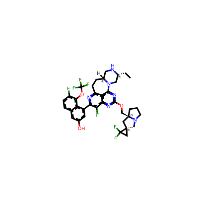 CC[C@@H]1CN2c3nc(OC[C@@]45CCCN4C[C@@]4(CC4(F)F)C5)nc4c(F)c(-c5cc(O)cc6ccc(F)c(OC(F)(F)F)c56)nc(c34)CC[C@@H]2CN1